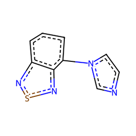 c1cc(-n2ccnc2)c2nsnc2c1